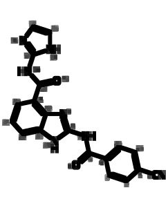 N#Cc1ccc(C(=O)Nc2nc3c(C(=O)Nc4ncc[nH]4)cccc3[nH]2)cc1